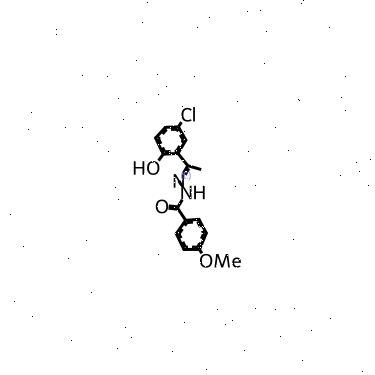 COc1ccc(C(=O)N/N=C(\C)c2cc(Cl)ccc2O)cc1